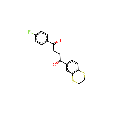 O=C(CCC(=O)c1ccc2c(c1)SCCS2)c1ccc(F)cc1